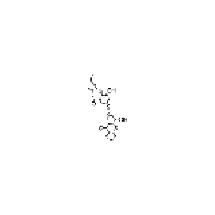 C=C1CC(=O)c2cc(SSC(=C/C)/C=C(/O)c3cc(=O)c4ccccc4s3)cc(O)c2S/C1=C/C=C\C